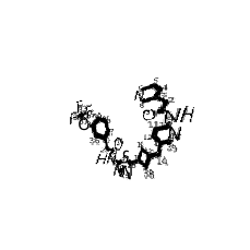 O=C(Cc1cccnc1)Nc1ccc(CC2CC(c3nnc(NC(=O)Cc4cccc(OC(F)(F)F)c4)s3)C2)cn1